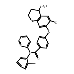 Cc1ccccc1N(C(=O)c1ccc(Oc2cc3c(cc2Cl)C(C(=O)O)CCO3)cc1)c1cccnn1